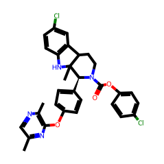 Cc1cnc(C)c(Oc2ccc([C@@H]3N(C(=O)Oc4ccc(Cl)cc4)CCC4c5cc(Cl)ccc5NC43C)cc2)n1